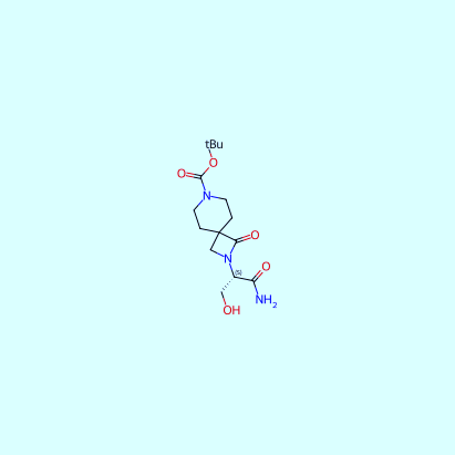 CC(C)(C)OC(=O)N1CCC2(CC1)CN([C@@H](CO)C(N)=O)C2=O